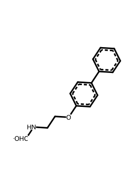 O=[C]NCCOc1ccc(-c2ccccc2)cc1